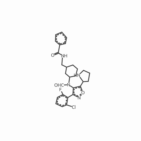 O=CN(c1c(-c2c(F)cccc2Cl)noc1C1CCCN1)C1CCCC(CNC(=O)c2ccccc2)C1